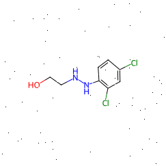 OCCNNc1ccc(Cl)cc1Cl